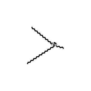 CCCCCCCCCCCCCCCCCCCC1N(CCCCC)C=CN1CCCCCCCCCCCCCCCC